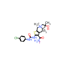 CC(C)(O)C[N+]1(C)CCc2c(sc(NC(=O)Nc3ccc(Cl)cc3)c2C(N)=O)C1.[I-]